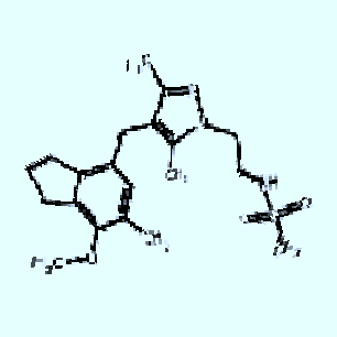 COc1c(C)cc(Cc2c(C)nn(CCNS(C)(=O)=O)c2C)c2c1CCC2